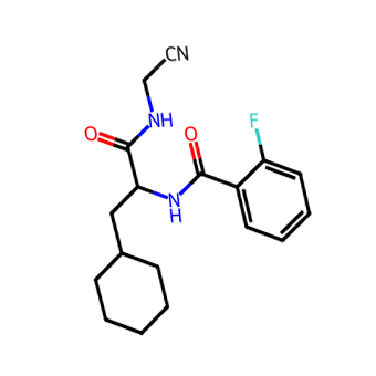 N#CCNC(=O)C(CC1CCCCC1)NC(=O)c1ccccc1F